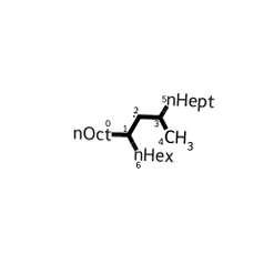 CCCCCCCCC([CH]C(C)CCCCCCC)CCCCCC